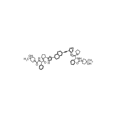 CC1(O)CCN(C(=O)N[C@@H](C(=O)N2CCC[C@H]2c2nc(-c3ccc4cc(C#Cc5cnc([C@@H]6CCCN6C(=O)[C@H](NC(=O)N6CCC(C)(O)CC6)c6ccccc6)[nH]5)ccc4c3)c[nH]2)c2ccccc2)CC1